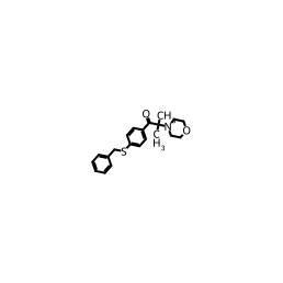 CC(C)(C(=O)c1ccc(SCc2ccccc2)cc1)N1CCOCC1